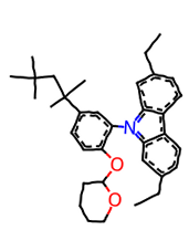 CCc1ccc2c3ccc(CC)cc3n(-c3cc(C(C)(C)CC(C)(C)C)ccc3OC3CCCCO3)c2c1